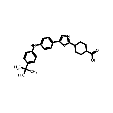 CC(C)(C)c1ccc(Nc2ccc(-c3cnc(C4CCC(C(=O)O)CC4)s3)cc2)cc1